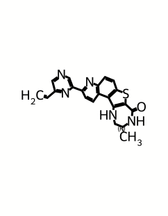 C=Cc1cncc(-c2ccc3c(ccc4sc5c(c43)NC[C@@H](C)NC5=O)n2)n1